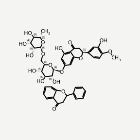 COc1ccc([C@@H]2CC(=O)c3c(O)cc(O[C@@H]4O[C@H](CO[C@@H]5O[C@@H](C)[C@H](O)[C@@H](O)[C@H]5O)[C@@H](O)[C@H](O)[C@H]4O)cc3O2)cc1O.O=C1CC(c2ccccc2)Oc2ccccc21